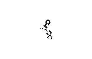 Cc1nc(-c2ccc3ccccc3c2)c2oc3ccccc3c2n1